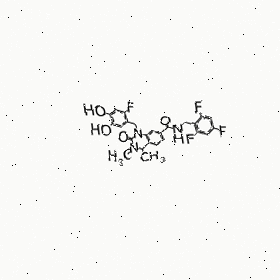 CC1c2ccc(C(=O)NCc3c(F)cc(F)cc3F)cc2N(Cc2cc(O)c(O)cc2F)C(=O)N1C